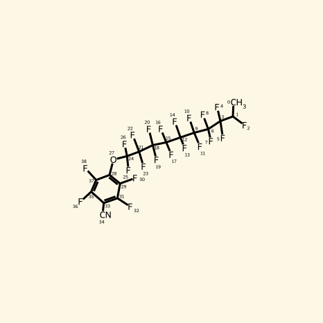 CC(F)C(F)(F)C(F)(F)C(F)(F)C(F)(F)C(F)(F)C(F)(F)C(F)(F)C(F)(F)Oc1c(F)c(F)c(C#N)c(F)c1F